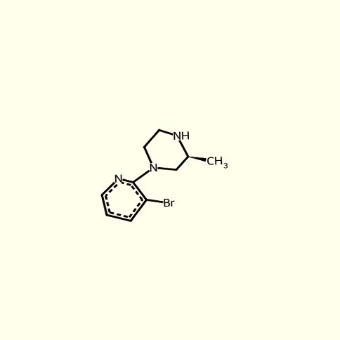 C[C@H]1CN(c2ncccc2Br)CCN1